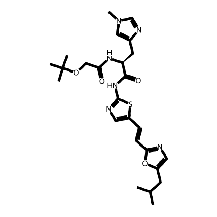 CC(C)Cc1cnc(/C=C/c2cnc(NC(=O)[C@H](Cc3cn(C)cn3)NC(=O)COC(C)(C)C)s2)o1